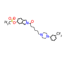 CS(=O)(=O)Oc1ccc2cn(C(=O)CCCCCN3CCN(c4cccc(C(F)(F)F)c4)CC3)cc2c1